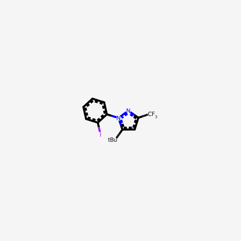 CC(C)(C)c1cc(C(F)(F)F)nn1-c1ccccc1I